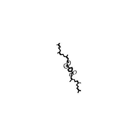 CC(C)=CCCC(C)=CCCC(C)=CCOC(=O)c1ccc(C(=O)OCC=C(C)CCC=C(C)CCC=C(C)C)cc1